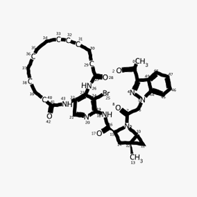 CC(=O)c1nn(CC(=O)N2C3C[C@]3(C)C[C@H]2C(=O)Nc2ncc3c(c2Br)NC(=O)CCCCCCCCCCCCC(=O)N3)c2ccccc12